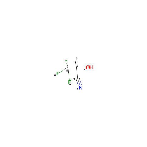 CC(O)(C#N)C(F)(F)F